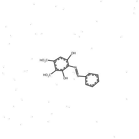 O=C(O)c1cc(O)c(N=Nc2ccccc2)c(O)c1C(=O)O